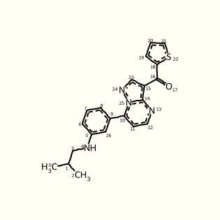 CC(C)CNc1cccc(-c2ccnc3c(C(=O)c4cccs4)cnn23)c1